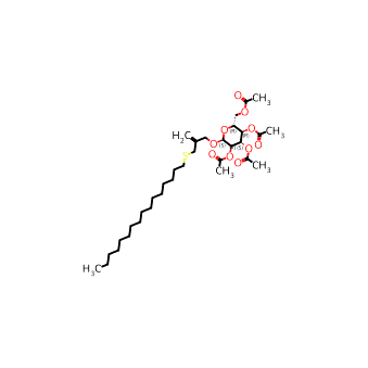 C=C(CO[C@H]1O[C@H](COC(C)=O)[C@@H](OC(C)=O)[C@H](OC(C)=O)[C@H]1OC(C)=O)CSCCCCCCCCCCCCCCCC